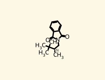 C[C@H](CN1C(=O)c2ccccc2C1=O)C(C)(C)C